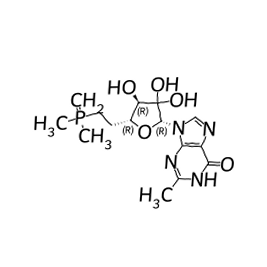 C=P(C)(C)CC[C@H]1O[C@@H](n2cnc3c(=O)[nH]c(C)nc32)C(O)(O)[C@@H]1O